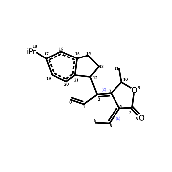 C=C/C(=C1\C(=C/C)C(=O)OC1C)C1CCc2cc(C(C)C)ccc21